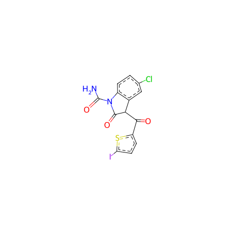 NC(=O)N1C(=O)C(C(=O)c2ccc(I)s2)c2cc(Cl)ccc21